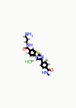 CNC(=O)c1ccc(-c2cn3c(n2)sc2cc(C(=O)NCCCN)ccc23)c(F)c1.Cl